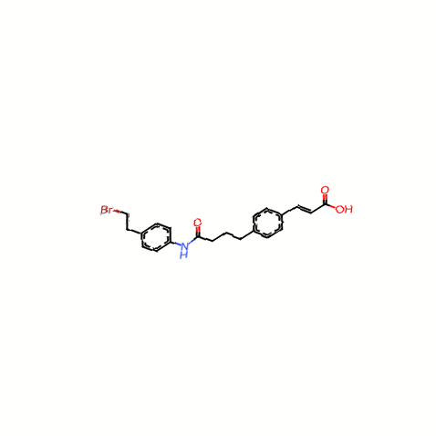 O=C(O)C=Cc1ccc(CCCC(=O)Nc2ccc(CCBr)cc2)cc1